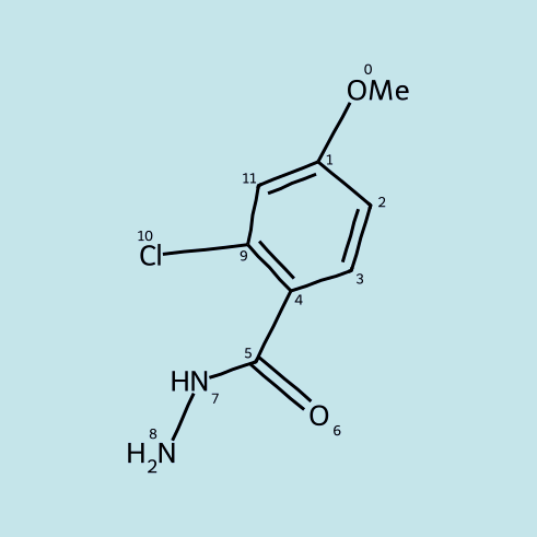 COc1ccc(C(=O)NN)c(Cl)c1